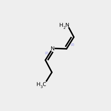 CC/C=N\C=C/N